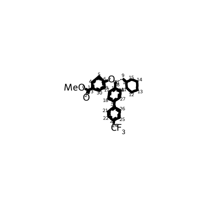 COC(=O)c1ccc(O[C@H](CC2CCCCC2)c2ccc(-c3ccc(C(F)(F)F)cc3)cc2)cc1